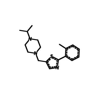 Cc1ccccc1-c1ncc(CN2CCN(C(C)C)CC2)s1